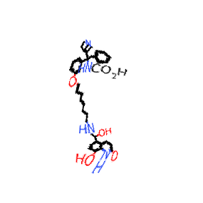 O=C(O)NC(c1ccccc1)(c1cccc(OCCCCCCCCNCC(O)c2ccc(O)c3[nH]c(=O)ccc23)c1)C1CN2CCC1CC2